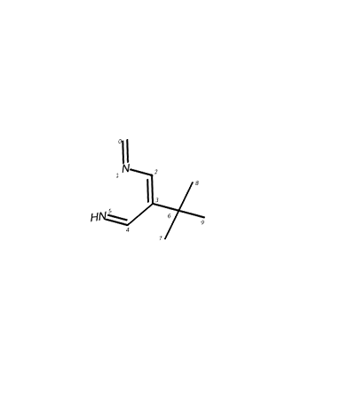 C=N/C=C(\C=N)C(C)(C)C